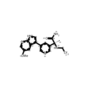 COc1cnc2[nH]cc(-c3cncc([C@](C)(NCC(F)(F)F)C(N)=O)c3)c2c1